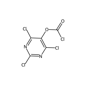 O=C(Cl)Oc1c(Cl)nc(Cl)nc1Cl